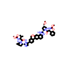 COC[C@H]1C[C@@H](c2nc3ccc4cc5c(cc4c3[nH]2)OCc2cc(-c3cnc([C@@H]4CC6CC6N4C(=O)[C@@H](NC(=O)OC)C(C)C)[nH]3)ccc2-5)N(C(=O)[C@H](NC(=O)OC)c2ccccc2)C1